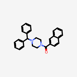 O=C(c1ccc2ccccc2c1)N1CCN(C(c2ccccc2)c2ccccc2)CC1